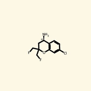 N[C@@H]1CC(CF)(CF)Oc2cc(Cl)ccc21